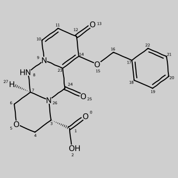 O=C(O)[C@@H]1COC[C@H]2Nn3ccc(=O)c(OCc4ccccc4)c3C(=O)N21